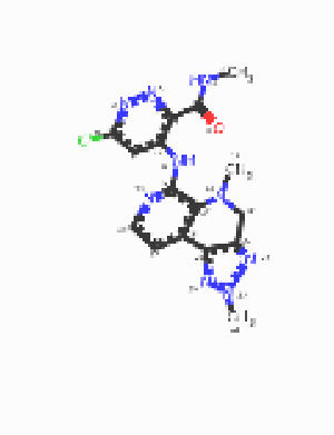 CNC(=O)c1nnc(Cl)cc1Nc1nccc2c1N(C)Cc1nn(C)nc1-2